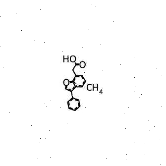 C.O=C(O)Cc1cccc2c(-c3ccccc3)coc12